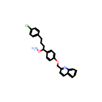 NOC(CCCc1ccc(Cl)cc1)c1ccc(OCc2ccc3ccccc3n2)cc1